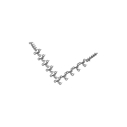 [H+].[H+].[H+].[H+].[H+].[H+].[H+].[H+].[H+].[H+].[KH].[O-]B([O-])[O-].[O-]B([O-])[O-].[O-]B([O-])[O-].[O-]B([O-])[O-].[O-]B([O-])[O-].[O-]B([O-])[O-].[O-]B([O-])[O-].[O-]B([O-])[O-].[O-]B([O-])[O-].[O-]B([O-])[O-]